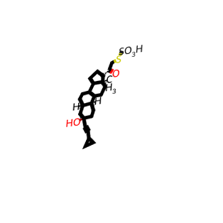 C[C@]12CCC3C(CC[C@@H]4C[C@@](O)(C#CC5CC5)CC[C@H]34)C1CC[C@@H]2C(=O)CSS(=O)(=O)O